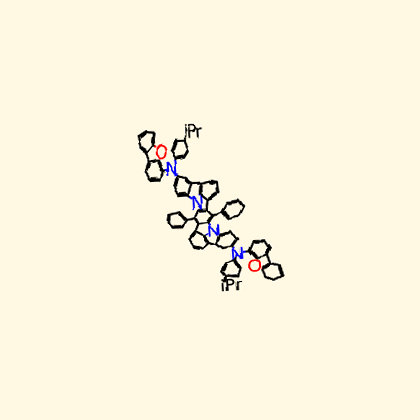 CC(C)c1ccc(N(C2=CC=C3C(C2)c2cccc4c5c(-c6ccccc6)c6c(c(C7=CCCC=C7)c5n3c24)c2cccc3c4cc(N(C5=CCC(C(C)C)C=C5)c5cccc7c5oc5ccccc57)ccc4n6c32)c2cccc3c4c(oc23)CCC=C4)cc1